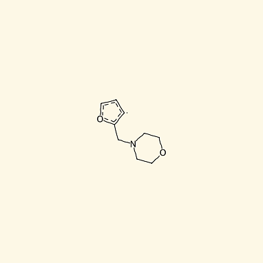 [c]1ccoc1CN1CCOCC1